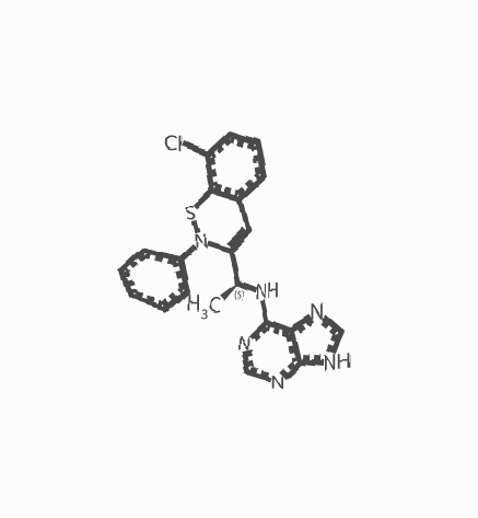 C[C@H](Nc1ncnc2[nH]cnc12)C1=Cc2cccc(Cl)c2SN1c1ccccc1